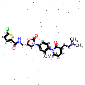 COc1cc(N2C[C@H](CNC(=O)c3ccc(Cl)s3)OC2=O)ccc1-n1cccc(CCN(C)C)c1=O